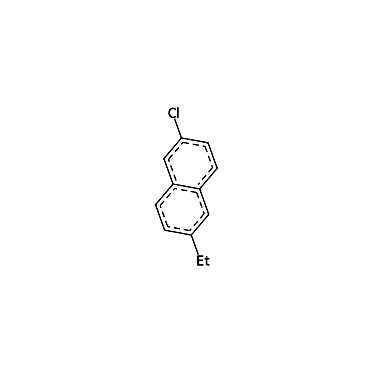 [CH2]Cc1ccc2cc(Cl)ccc2c1